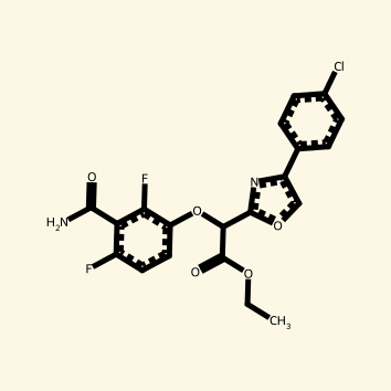 CCOC(=O)C(Oc1ccc(F)c(C(N)=O)c1F)c1nc(-c2ccc(Cl)cc2)co1